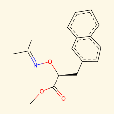 COC(=O)[C@H](Cc1ccc2ccccc2c1)ON=C(C)C